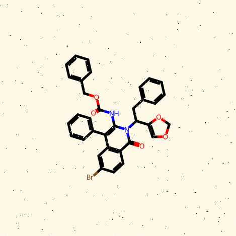 O=C(Nc1c(-c2ccccc2)c2cc(Br)ccc2c(=O)n1C(Cc1ccccc1)C1=COCO1)OCc1ccccc1